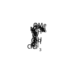 COc1cc2ncnc(Nc3nc4ccc(NC(=O)Nc5ccc(Cl)c(C(F)(F)F)c5)cc4s3)c2cc1OCCN1CCN(C)CC1